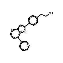 OCCc1ccc(-c2cc3nccc(-c4cccnc4)c3o2)cc1